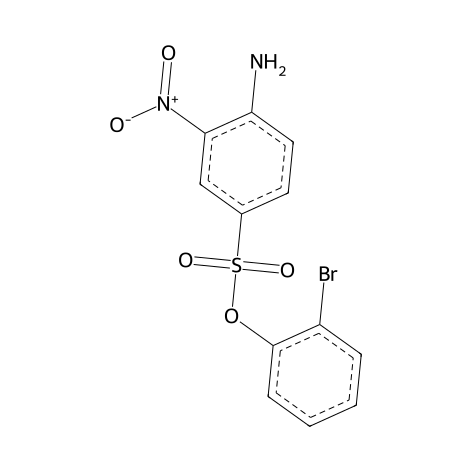 Nc1ccc(S(=O)(=O)Oc2ccccc2Br)cc1[N+](=O)[O-]